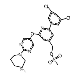 C[C@@H]1CCCN(c2ncc(Oc3cc(COS(C)(=O)=O)cc(-c4cc(Cl)cc(Cl)c4)n3)cn2)C1